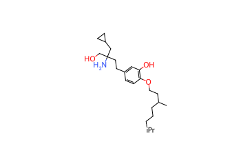 CC(C)CCCC(C)CCOc1ccc(CCC(N)(CO)CC2CC2)cc1O